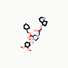 COc1ccc(S(=O)(=O)N2CCN(C[C@@H](O)COc3cccc4ncccc34)CC2C(=O)OCc2ccccc2)cc1OC